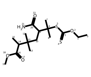 CCOC(=S)SC(C)(C)C(CC(C)(C)C(C)C(=O)OC)C(N)=O